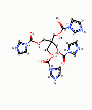 O=C(OCC(COC(=O)n1ccnc1)(COC(=O)n1ccnc1)COC(=O)n1ccnc1)n1ccnc1